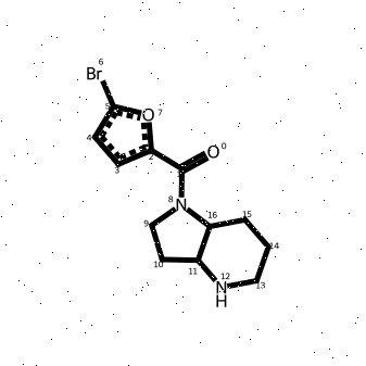 O=C(c1ccc(Br)o1)N1CCC2NCCCC21